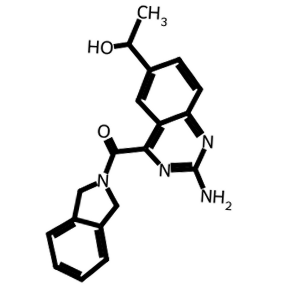 CC(O)c1ccc2nc(N)nc(C(=O)N3Cc4ccccc4C3)c2c1